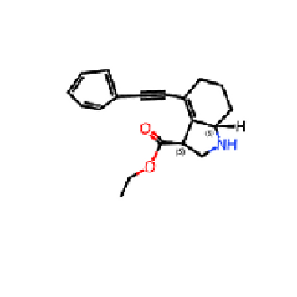 CCOC(=O)[C@@H]1CN[C@H]2CCCC(C#Cc3ccccc3)=C12